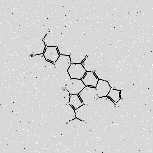 CCOc1cc(CN2CCc3c(cc(Cn4ccnc4C)cc3-c3nc(C(F)F)nn3C)C2=O)ncc1C#N